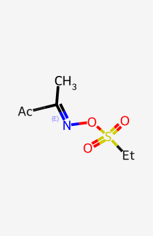 CCS(=O)(=O)O/N=C(\C)C(C)=O